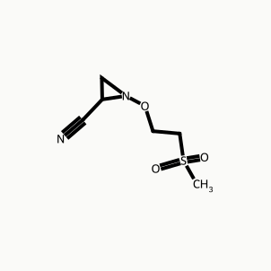 CS(=O)(=O)CCON1CC1C#N